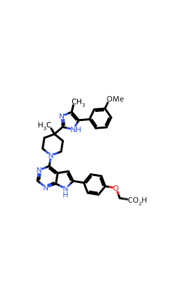 COc1cccc(-c2[nH]c(C3(C)CCN(c4ncnc5[nH]c(-c6ccc(OCC(=O)O)cc6)cc45)CC3)nc2C)c1